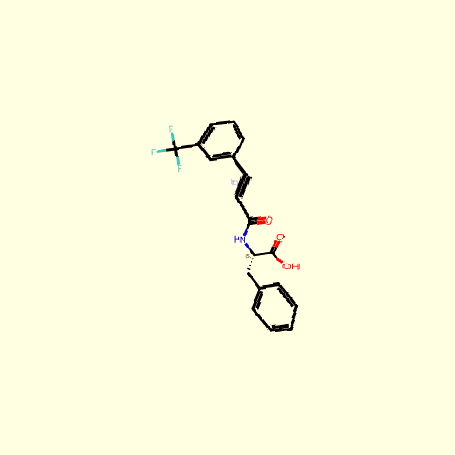 O=C(/C=C/c1cccc(C(F)(F)F)c1)N[C@@H](Cc1ccccc1)C(=O)O